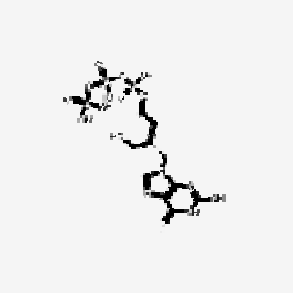 Nc1nc2c(ncn2C[C@H](CO)CCOP(=O)(O)OP(=O)(O)OP(=O)(O)O)c(=O)[nH]1